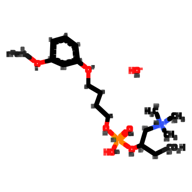 CCCCCOc1cccc(OCCCCOP(=O)(O)OC(CC(=O)O)C[N+](C)(C)C)c1.[OH-]